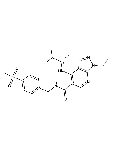 CCn1ncc2c(N[C@@H](C)C(C)C)c(C(=O)NCc3ccc(S(C)(=O)=O)cc3)cnc21